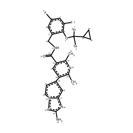 [2H]C([2H])(Oc1c(F)cc(F)cc1CNC(=O)c1cc(-c2ccn3nc(N)nc3c2)c(C)nc1C)C1CC1